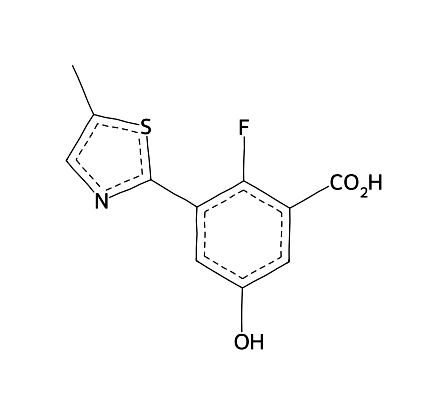 Cc1cnc(-c2cc(O)cc(C(=O)O)c2F)s1